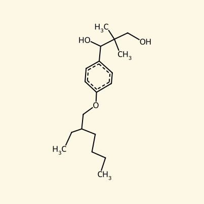 CCCCC(CC)COc1ccc(C(O)C(C)(C)CO)cc1